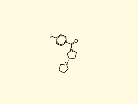 O=C(c1ccc(I)cc1)N1CC[C@H](N2CCCC2)C1